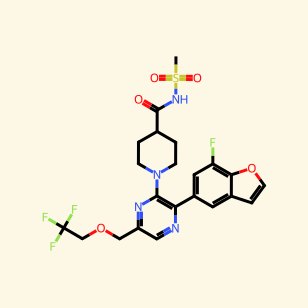 CS(=O)(=O)NC(=O)C1CCN(c2nc(COCC(F)(F)F)cnc2-c2cc(F)c3occc3c2)CC1